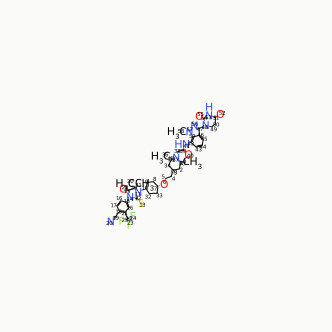 C[C@@H]1C[C@@H](CCO[C@H]2CC[C@H](N3C(=S)N(c4ccc(C#N)c(C(F)(F)F)c4)C(=O)C3(C)C)CC2)C[C@H](C)N1CC(=O)Nc1cccc2c(N3CCC(=O)NC3=O)nn(C)c12